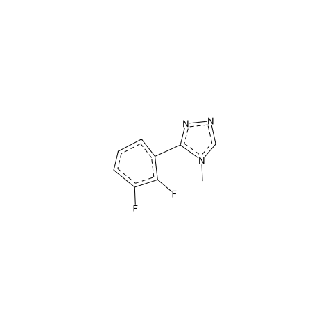 Cn1cnnc1-c1cccc(F)c1F